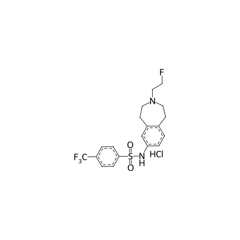 Cl.O=S(=O)(Nc1ccc2c(c1)CCN(CCF)CC2)c1ccc(C(F)(F)F)cc1